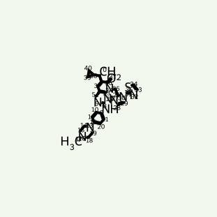 C=C(c1cc2cnc(Nc3ccc(N4CCN(C)CC4)cc3)nc2n(Cc2nccn2-c2nccs2)c1=O)C1CC1